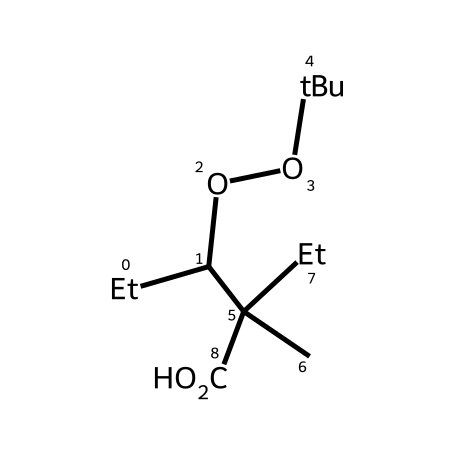 CCC(OOC(C)(C)C)C(C)(CC)C(=O)O